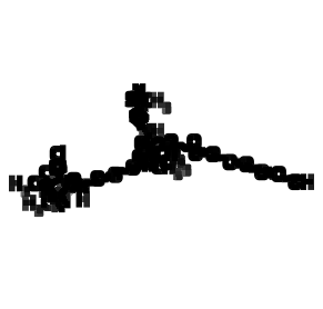 Cc1ncsc1-c1ccc(CNC(=O)[C@@H]2C[C@@H](OC(=O)CCC(=O)OCCOCCOCCOCCOCCOCCO)CN2C(=O)[C@@H](NC(=O)COCCOCCOCCNC(=O)C[C@@H]2N=C(c3ccc(Cl)cc3)c3c(sc(C)c3C)-n3c(C)nnc32)C(C)(C)C)cc1